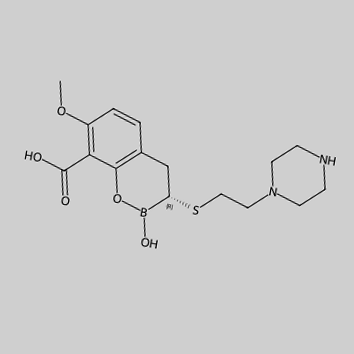 COc1ccc2c(c1C(=O)O)OB(O)[C@@H](SCCN1CCNCC1)C2